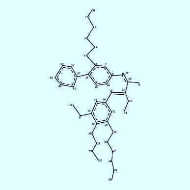 CCCCCCc1cc(N=C(C)C(=Cc2cc(CC)c(CCCC)c(CCCCCC)c2)CC)ccc1-c1ccccc1